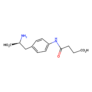 N[C@@H](Cc1ccc(NC(=O)CCC(=O)O)cc1)C(=O)O